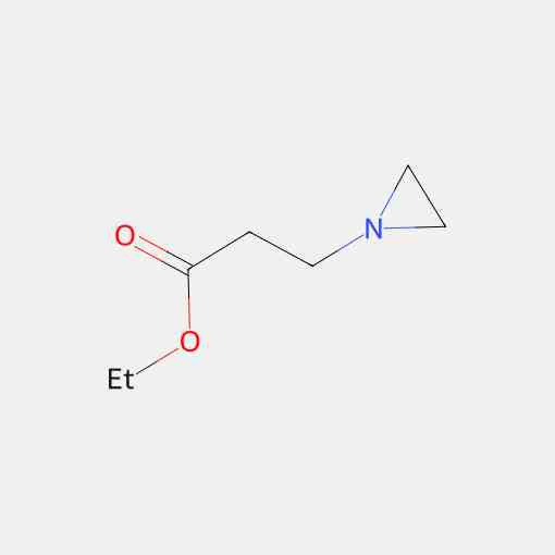 CCOC(=O)CCN1CC1